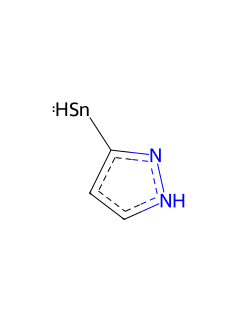 [SnH][c]1cc[nH]n1